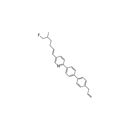 C=CCc1ccc(-c2ccc(-c3ccc(C=CCCC(C)CF)cn3)cc2)cc1